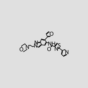 O=C(Nc1cc2cn(CCN3CCOCC3)nc2cc1-c1ccoc1)c1csc(-c2cccnc2)n1